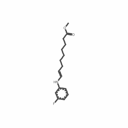 COC(=O)CCCCCCC=CNc1cccc(F)c1